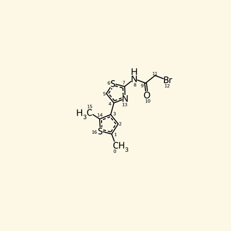 Cc1cc(-c2csc(NC(=O)CBr)n2)c(C)s1